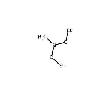 CCO[Si](C)OCC